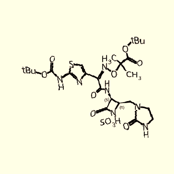 CC(C)(C)OC(=O)Nc1nc(C(=NOC(C)(C)C(=O)OC(C)(C)C)C(=O)N[C@@H]2C(=O)N(S(=O)(=O)O)[C@@H]2CN2CCNC2=O)cs1